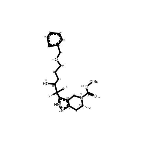 C[C@@H]1Cc2n[nH]c(C(F)(F)C(O)CCCOCc3ccccc3)c2CN1C(=O)OC(C)(C)C